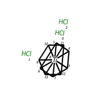 Cl.Cl.Cl.[CH]12[CH]3[CH]4[CH]5[CH]1[Ti]23451678[CH]2[CH]1[CH]6[CH]7[CH]28